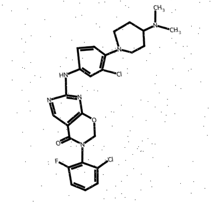 CN(C)C1CCN(c2ccc(Nc3ncc4c(n3)OCN(c3c(F)cccc3Cl)C4=O)cc2Cl)CC1